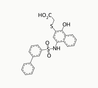 O=C(O)CSc1cc(NS(=O)(=O)c2cccc(-c3ccccc3)c2)c2ccccc2c1O